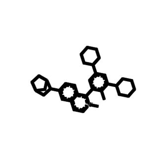 Cc1c(-c2c3ccc(C4CC5CCC4C5)cc3cc[n+]2C)cc(C2CCCCC2)cc1C1CCCCC1